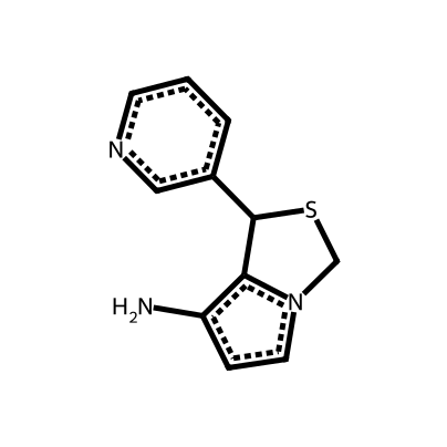 Nc1ccn2c1C(c1cccnc1)SC2